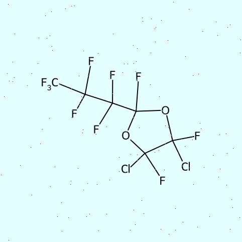 FC(F)(F)C(F)(F)C(F)(F)C1(F)OC(F)(Cl)C(F)(Cl)O1